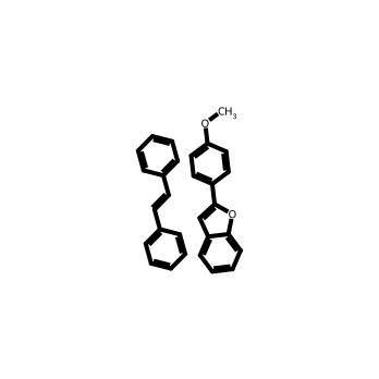 C(=Cc1ccccc1)c1ccccc1.COc1ccc(-c2cc3ccccc3o2)cc1